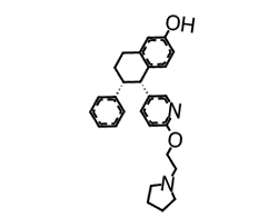 Oc1ccc2c(c1)CC[C@@H](c1ccccc1)[C@H]2c1ccc(OCCN2CCCC2)nc1